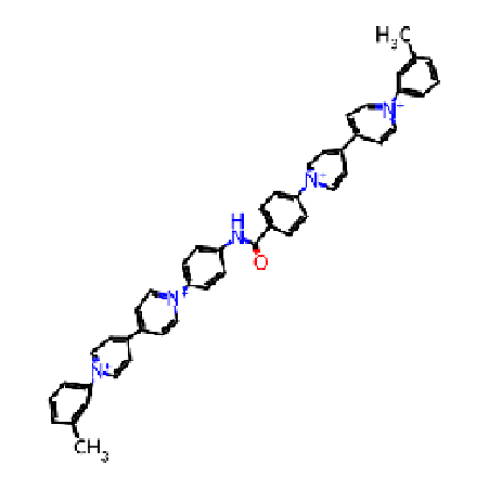 Cc1cccc(-[n+]2ccc(-c3cc[n+](-c4ccc(NC(=O)c5ccc(-[n+]6ccc(-c7cc[n+](-c8cccc(C)c8)cc7)cc6)cc5)cc4)cc3)cc2)c1